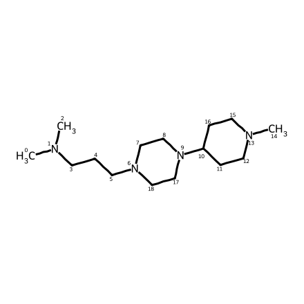 CN(C)CCCN1CCN(C2CCN(C)CC2)CC1